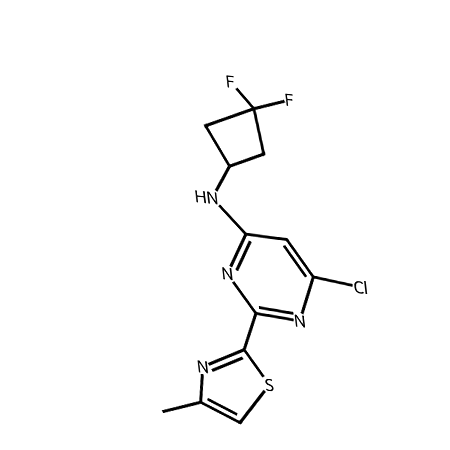 Cc1csc(-c2nc(Cl)cc(NC3CC(F)(F)C3)n2)n1